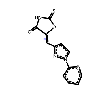 O=C1NC(=S)S/C1=C\c1ccn(-c2ccccn2)n1